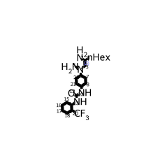 CCCCCC/C(N)=C/N(N)c1ccc(NC(=O)Nc2ccccc2C(F)(F)F)cc1